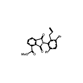 C=CCc1c(C(C)C)ccc(C(C)C)c1N1C(=O)c2cccc(C(=O)OC)c2C1=O